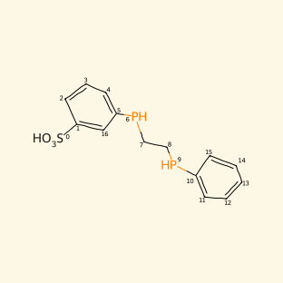 O=S(=O)(O)c1cccc(PCCPc2ccccc2)c1